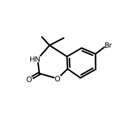 CC1(C)NC(=O)Oc2ccc(Br)cc21